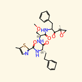 COC[C@H](NC(=O)[C@H](CCc1ccccc1)NC(=O)c1ncc(C)s1)C(=O)NC(Cc1ccccc1)C(=O)[C@@]1(C)CO1